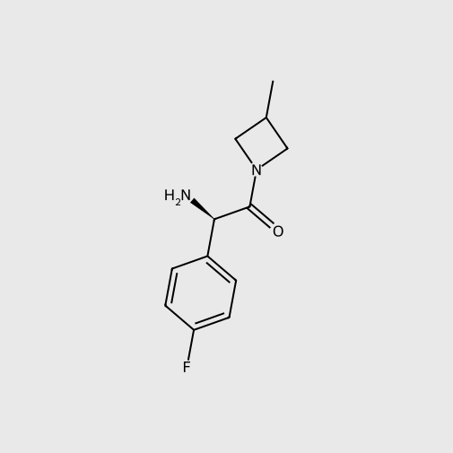 CC1CN(C(=O)[C@H](N)c2ccc(F)cc2)C1